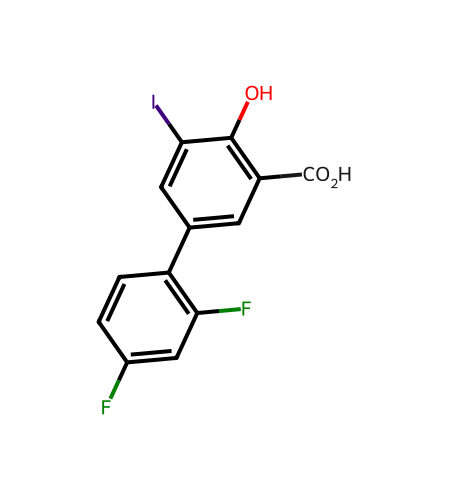 O=C(O)c1cc(-c2ccc(F)cc2F)cc(I)c1O